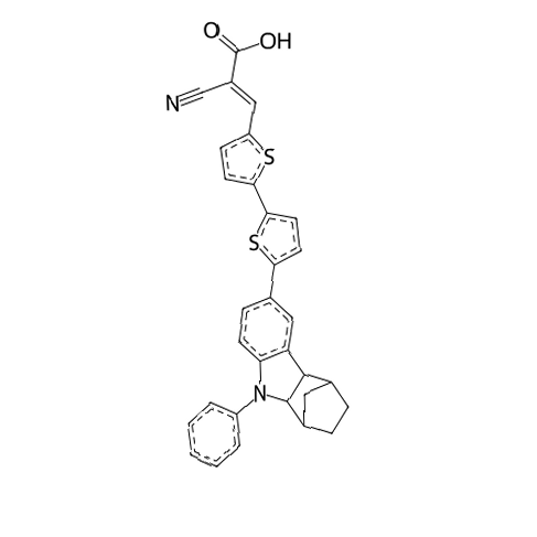 N#C/C(=C\c1ccc(-c2ccc(-c3ccc4c(c3)C3C5CCC(C5)C3N4c3ccccc3)s2)s1)C(=O)O